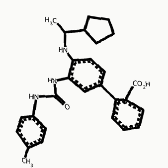 Cc1ccc(NC(=O)Nc2cc(-c3ccccc3C(=O)O)ccc2NC(C)C2CCCC2)cc1